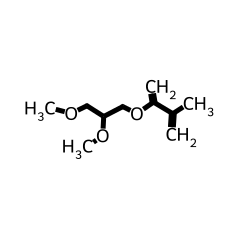 C=C(C)C(=C)OCC(COC)OC